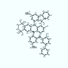 Cc1cc2c3c(c1)N(c1cc(C(C)(C)C)cc4c1C(C)(C)c1ccccc1-4)c1cc4c(cc1B3c1ccc(C(C)(C)C)cc1N2c1cc(-c2ccccc2)ccc1C)C(C)(C)CCC4(C)C